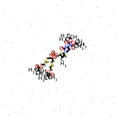 C[C@H]1[C@H](F)[C@H](n2ccc(N(C(=O)OC(C)(C)C)C(=O)OC(C)(C)C)nc2=O)S[C@@H]1COP(=O)(OCCSSCCOC(=O)C(C)(C)C)OCCSSCCOC(=O)C(C)(C)C